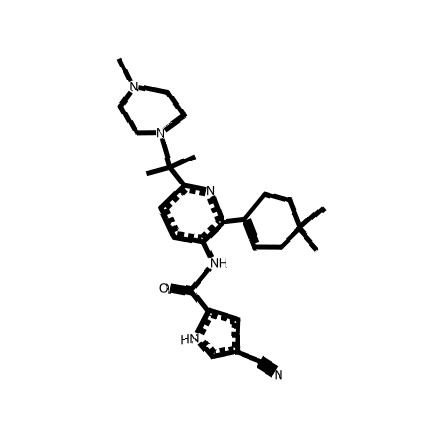 CN1CCN(C(C)(C)c2ccc(NC(=O)c3cc(C#N)c[nH]3)c(C3=CCC(C)(C)CC3)n2)CC1